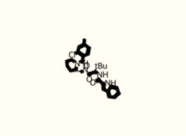 Cc1ccc(C(=O)N2CCCC[C@H]2CNC(=O)[C@@H](NC(=O)c2cc3ccccc3[nH]2)C(C)(C)C)c(Cl)c1